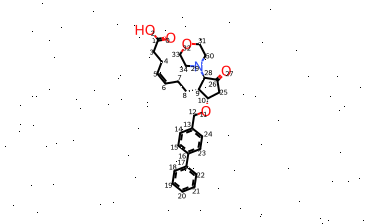 O=C(O)CC/C=C\CC[C@H]1[C@@H](OCc2ccc(-c3ccccc3)cc2)CC(=O)[C@@H]1N1CCOCC1